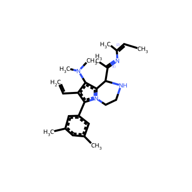 C=Cc1c(N(C)C)c2n(c1-c1cc(C)cc(C)c1)CCNC2/C(C)=N/C(C)=C\C